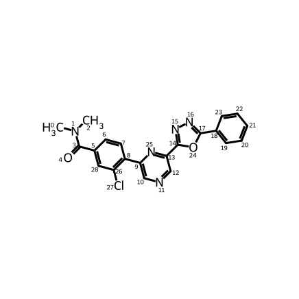 CN(C)C(=O)c1ccc(-c2cncc(-c3nnc(-c4ccccc4)o3)n2)c(Cl)c1